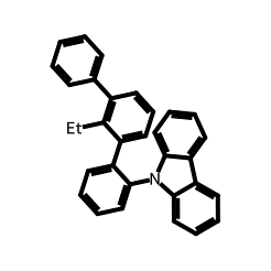 CCc1c(-c2ccccc2)cccc1-c1ccccc1-n1c2ccccc2c2ccccc21